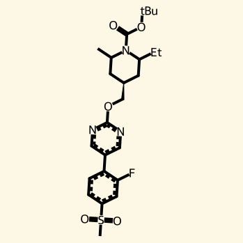 CCC1C[C@@H](COc2ncc(-c3ccc(S(C)(=O)=O)cc3F)cn2)CC(C)N1C(=O)OC(C)(C)C